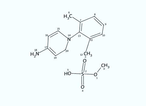 COS(=O)(=O)O.Cc1cccc(C)c1N1C=CC(N)=CC1